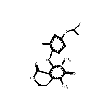 Cc1c2c(c(Nc3ccc(OC(F)F)cc3F)n(C)c1=O)C(=O)NCC2